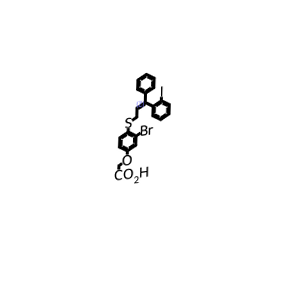 O=C(O)COc1ccc(SC/C=C(/c2ccccc2)c2ccccc2I)c(Br)c1